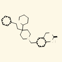 O=C1Nc2ccc(CN3CCC(CCc4ccccc4)(C4CCCCO4)CC3)cc2CO1